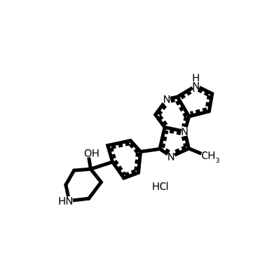 Cc1nc(-c2ccc(C3(O)CCNCC3)cc2)c2cnc3[nH]ccc3n12.Cl